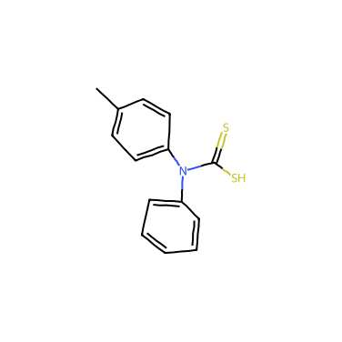 Cc1ccc(N(C(=S)S)c2ccccc2)cc1